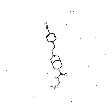 CCNC(=O)N1CC2CC(CN(CCc3ccc(C#N)cc3)C2)C1